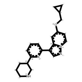 c1cc(-c2cnn3ccc(OCC4CC4)cc23)nc(C2CCCNC2)c1